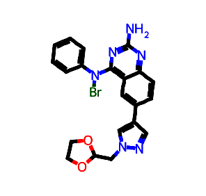 Nc1nc(N(Br)c2ccccc2)c2cc(-c3cnn(CC4OCCO4)c3)ccc2n1